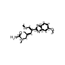 C=N/C=C(\C=C(/C)CN(C)C(N)=O)c1nc2cc(OC)ccc2s1